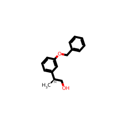 C[C@H](CO)c1cccc(OCc2ccccc2)c1